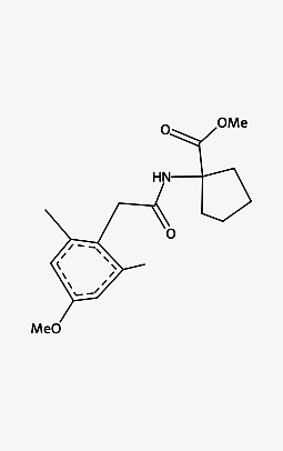 COC(=O)C1(NC(=O)Cc2c(C)cc(OC)cc2C)CCCC1